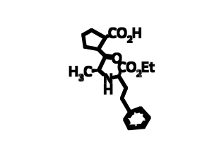 CCOC(=O)[C@H](CCc1ccccc1)N[C@@H](C)C(=O)C1CCC[C@H]1C(=O)O